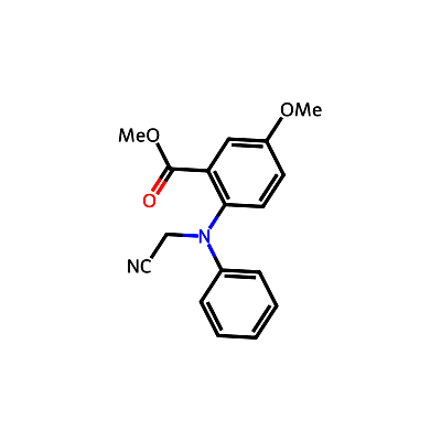 COC(=O)c1cc(OC)ccc1N(CC#N)c1ccccc1